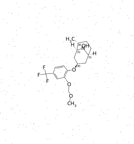 COCOc1cc(C(F)(F)F)ccc1O[C@@H]1C[C@@H]2CC[C@@H](C)[C@H](C1)N2O